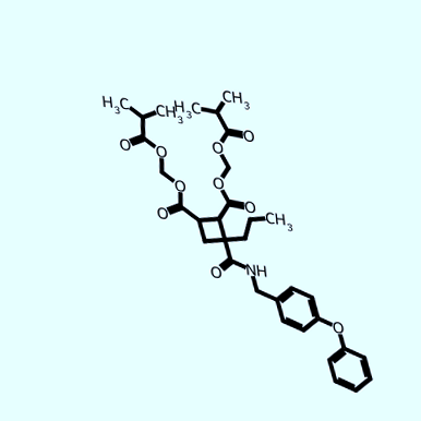 CCCC1(C(=O)NCc2ccc(Oc3ccccc3)cc2)CC(C(=O)OCOC(=O)C(C)C)C1C(=O)OCOC(=O)C(C)C